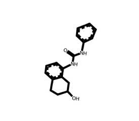 O=C(Nc1ccccc1)Nc1cccc2c1CC(O)CC2